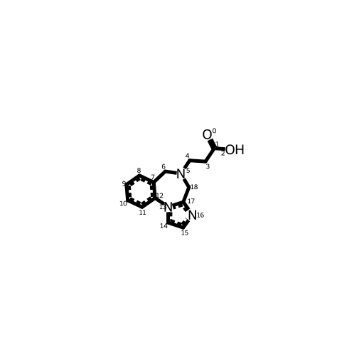 O=C(O)CCN1Cc2ccccc2-n2ccnc2C1